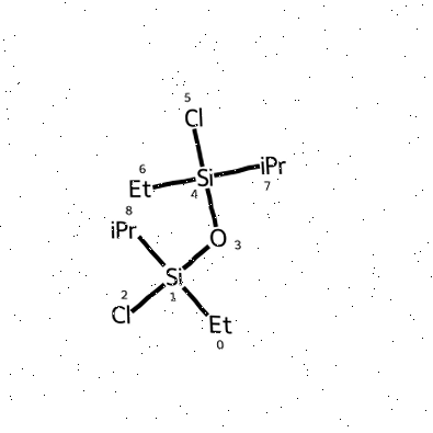 CC[Si](Cl)(O[Si](Cl)(CC)C(C)C)C(C)C